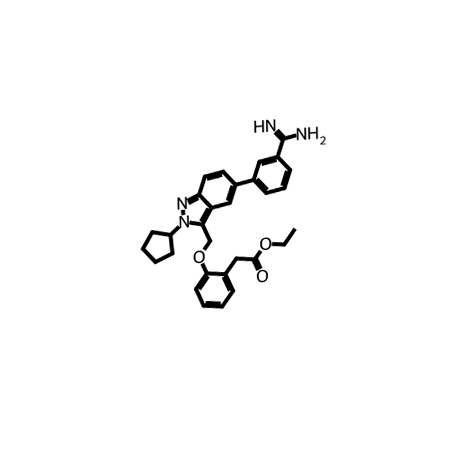 CCOC(=O)Cc1ccccc1OCc1c2cc(-c3cccc(C(=N)N)c3)ccc2nn1C1CCCC1